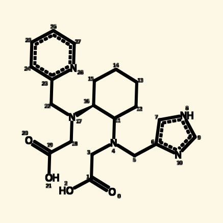 O=C(O)CN(Cc1c[nH]cn1)C1CCCC[C@@H]1N(CC(=O)O)Cc1ccccn1